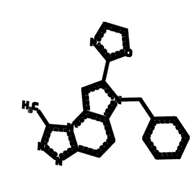 Cc1nnc2ccc3c(cc(-c4ncco4)n3Cc3ccccc3)n12